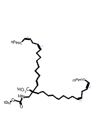 CCCCC/C=C\C/C=C\CCCCCCCCC(CCCCCCCC/C=C\C/C=C\CCCCC)(CNC(=O)OC(C)(C)C)C(=O)O